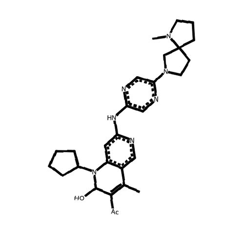 CC(=O)C1=C(C)c2cnc(Nc3cnc(N4CCC5(CCCN5C)C4)cn3)cc2N(C2CCCC2)C1O